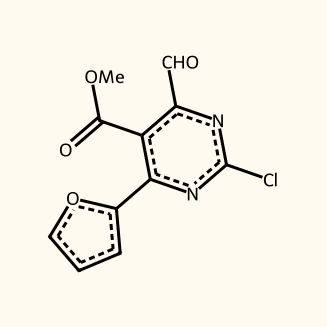 COC(=O)c1c(C=O)nc(Cl)nc1-c1ccco1